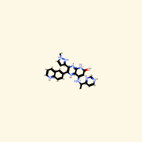 CC(Nc1cc(=O)[nH]c2nc(-c3ccn(C)n3)c(-c3ccc4ncccc4c3)nc12)c1ccncn1